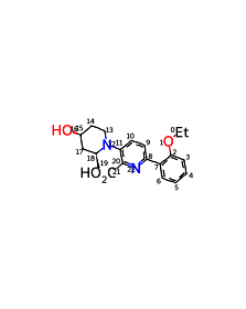 CCOc1ccccc1-c1ccc(N2CC[C@H](O)C[C@@H]2C)c(C(=O)O)n1